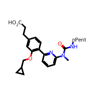 CCCCCNC(=O)N(C)c1cccc(-c2ccc(CCC(=O)O)cc2OCC2CC2)n1